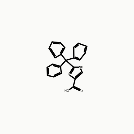 O=C(O)c1c[nH]c(C(c2ccccc2)(c2ccccc2)c2ccccc2)n1